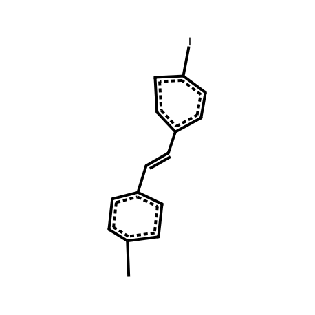 Cc1ccc(C=Cc2ccc(I)cc2)cc1